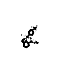 BC(B)(c1ccc(C(F)(F)F)cc1)n1ccc2cccc(C(=O)NC=C)c21